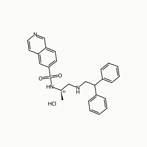 C[C@H](CNCC(c1ccccc1)c1ccccc1)NS(=O)(=O)c1ccc2cnccc2c1.Cl